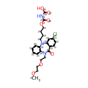 COCCOCCN1C(=O)c2ccc(Cl)cc2N(CCCCOC(=O)NC(=O)O)c2ccccc21